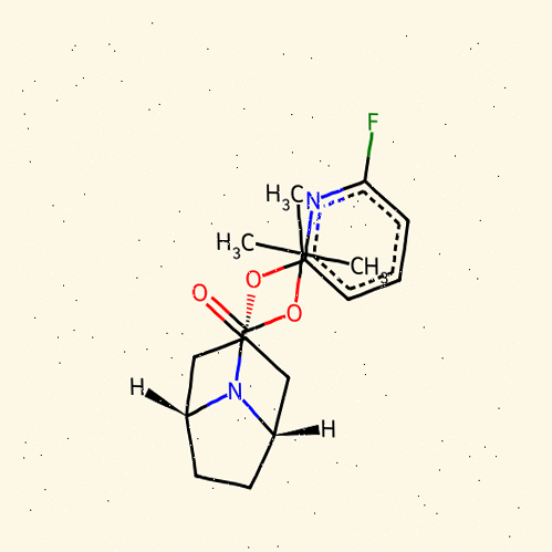 CC(C)(C)OC(=O)N1[C@@H]2CC[C@H]1C[C@@H](Oc1cccc(F)n1)C2